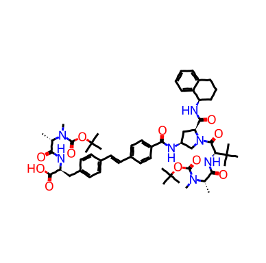 C[C@@H](C(=O)N[C@@H](Cc1ccc(C=Cc2ccc(C(=O)N[C@H]3C[C@@H](C(=O)N[C@@H]4CCCc5ccccc54)N(C(=O)[C@@H](NC(=O)[C@H](C)N(C)C(=O)OC(C)(C)C)C(C)(C)C)C3)cc2)cc1)C(=O)O)N(C)C(=O)OC(C)(C)C